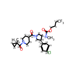 CN(C(=O)OCCCC(F)(F)F)[C@H]1CN(C(=O)C2CCN(C(=O)C3(C)CC3)CC2)C[C@@H]1c1ccc(Cl)cc1